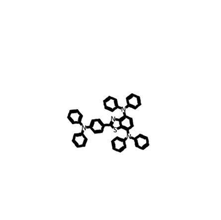 c1ccc(N(c2ccccc2)c2ccc(-c3nc4c(N(c5ccccc5)c5ccccc5)ccc(N(c5ccccc5)c5ccccc5)c4s3)cc2)cc1